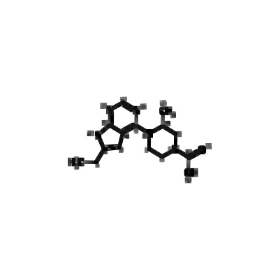 CCc1cc2c(N3CCN(C(=O)O)CC3C)ncnc2s1